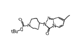 Cc1ccn2c(=O)n(C3CCN(C(=O)OC(C)(C)C)CC3)nc2c1